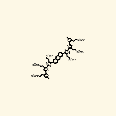 CCCCCCCCCCCCc1cc(C)sc1-c1cc(CCCCCCCCCCCC)c(-c2nc(CCCCCCCCCCCC)c(-c3ccc4cc5cc(-c6sc(-c7sc(-c8sc(C)cc8CCCCCCCCCCCC)cc7CCCCCCCCCCCC)nc6CCCCCCCCCCCC)ccc5cc4c3)s2)s1